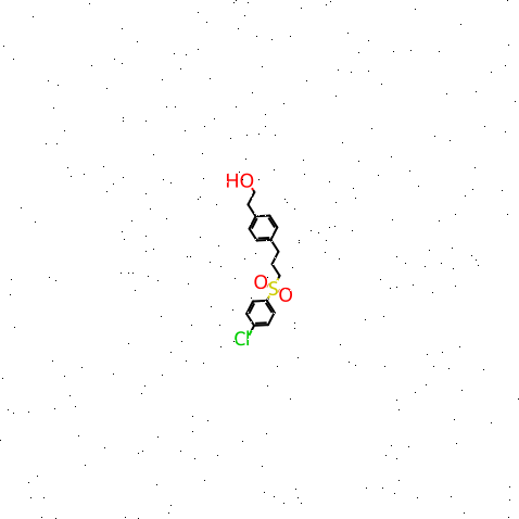 O=S(=O)(CCCc1ccc(CCO)cc1)c1ccc(Cl)cc1